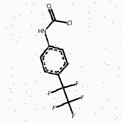 O=C(Cl)Nc1ccc(C(F)(F)C(F)(F)F)cc1